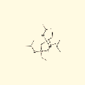 CC[Si](C[Si](CC)(OC(C)C)OC(C)C)(OC(C)C)OC(C)C